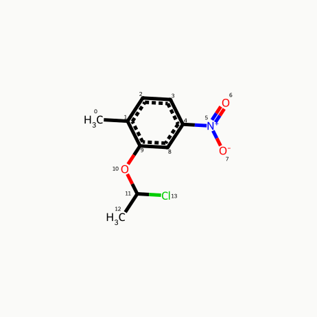 Cc1ccc([N+](=O)[O-])cc1OC(C)Cl